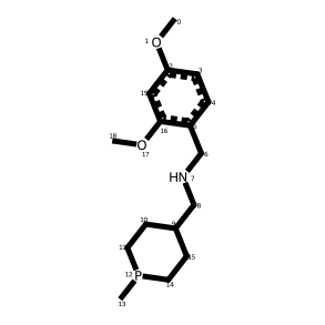 COc1ccc(CNCC2CCP(C)CC2)c(OC)c1